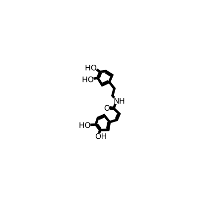 O=C(/C=C\c1ccc(O)c(O)c1)NCCc1ccc(O)c(O)c1